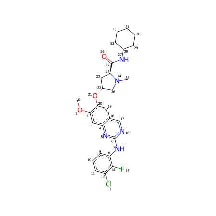 COc1cc2nc(Nc3cccc(Cl)c3F)ncc2cc1O[C@@H]1C[C@@H](C(=O)NC2CCCCC2)N(C)C1